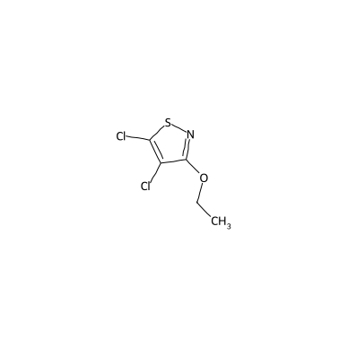 CCOc1nsc(Cl)c1Cl